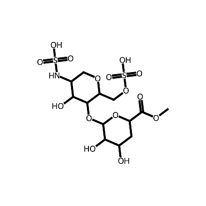 COC(=O)C1CC(O)C(O)C(OC2C(COS(=O)(=O)O)OCC(NS(=O)(=O)O)C2O)O1